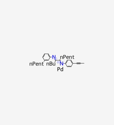 CC#Cc1ccc(/N=C(CCCCC)/C(CCCC)=N/c2cccc(CCCCC)c2)cc1.[Pd]